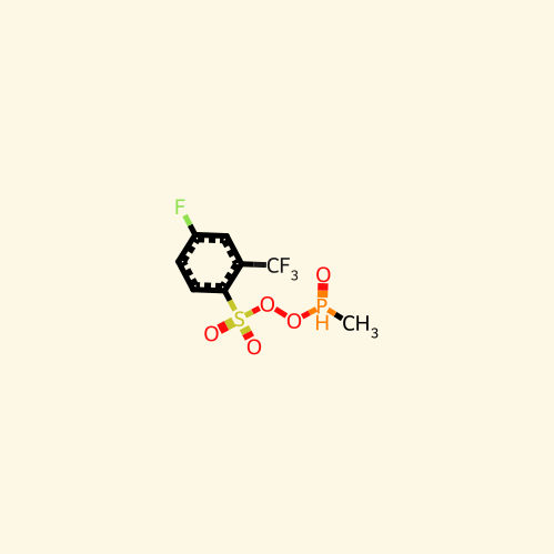 C[PH](=O)OOS(=O)(=O)c1ccc(F)cc1C(F)(F)F